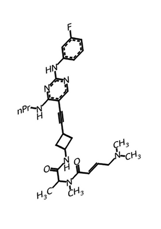 CCCNc1nc(Nc2cccc(F)c2)ncc1C#CC1CC(NC(=O)C(C)N(C)C(=O)C=CCN(C)C)C1